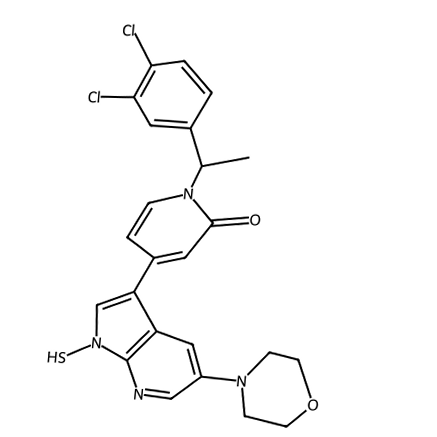 CC(c1ccc(Cl)c(Cl)c1)n1ccc(-c2cn(S)c3ncc(N4CCOCC4)cc23)cc1=O